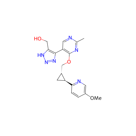 COc1ccc([C@H]2C[C@@H]2COc2nc(C)ncc2-c2nn[nH]c2CO)nc1